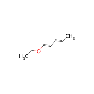 C/C=C/C=C/OCC